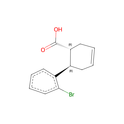 O=C(O)[C@@H]1CC=CC[C@H]1c1ccccc1Br